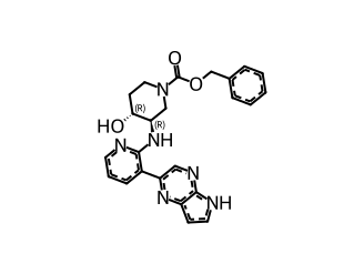 O=C(OCc1ccccc1)N1CC[C@@H](O)[C@H](Nc2ncccc2-c2cnc3[nH]ccc3n2)C1